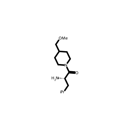 COCC1CCN(C(=O)[C@@H](N)CC(C)C)CC1